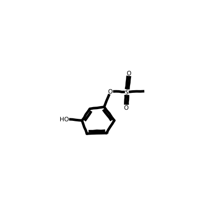 CS(=O)(=O)Oc1c[c]cc(O)c1